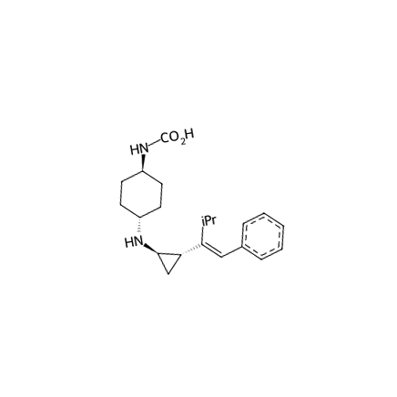 CC(C)/C(=C\c1ccccc1)[C@@H]1C[C@H]1N[C@H]1CC[C@H](NC(=O)O)CC1